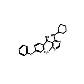 N=C(c1ccc(Oc2ccccc2)cc1)c1c(N)ncnc1NC1CCCCC1